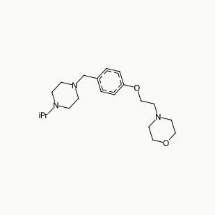 CC(C)N1CCN(Cc2ccc(OCCN3CCOCC3)cc2)CC1